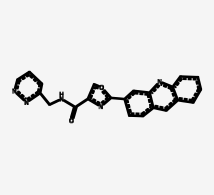 O=C(NCc1cccnn1)c1coc(-c2ccc3cc4ccccc4nc3c2)n1